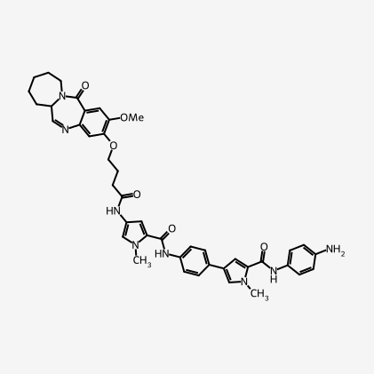 COc1cc2c(cc1OCCCC(=O)Nc1cc(C(=O)Nc3ccc(-c4cc(C(=O)Nc5ccc(N)cc5)n(C)c4)cc3)n(C)c1)N=CC1CCCCCN1C2=O